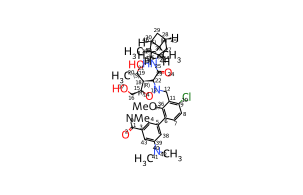 CNC(=O)c1cc(-c2ccc(Cl)c(CN3O[C@@H](CO)[C@@H]([C@H](C)O)C3C(=O)N[C@H]3C[C@H]4C[C@@H]([C@@H]3C)C4(C)C)c2OC)cc(N(C)C)c1